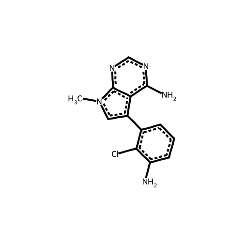 Cn1cc(-c2cccc(N)c2Cl)c2c(N)ncnc21